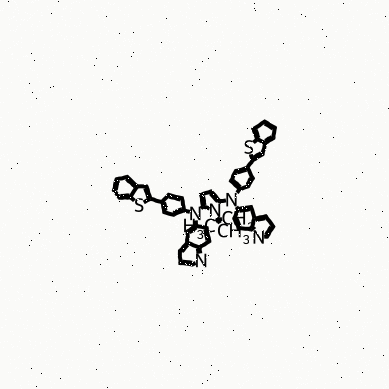 CC(C)(C)n1c(N(c2ccc(-c3cc4ccccc4s3)cc2)c2ccc3ncccc3c2)ccc1N(c1ccc(-c2cc3ccccc3s2)cc1)c1ccc2ncccc2c1